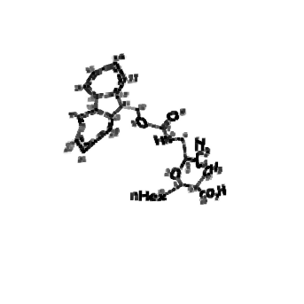 CCCCCCC(OC(C)CNC(=O)OCC1c2ccccc2-c2ccccc21)C(C)C(=O)O